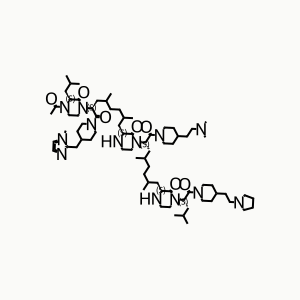 CC(=O)N1CCN([C@@H](CC(C)CCC(C)C[C@@H]2NCCN([C@@H](CC(C)CCC(C)C[C@@H]3NCCN([C@@H](CC(C)C)C(=O)N4CCC(CCN5CCCC5)CC4)C3=O)C(=O)N3CCC(CCN(C)C)CC3)C2=O)C(=O)N2CCC(Cc3nccn3C)CC2)C(=O)[C@@H]1CC(C)C